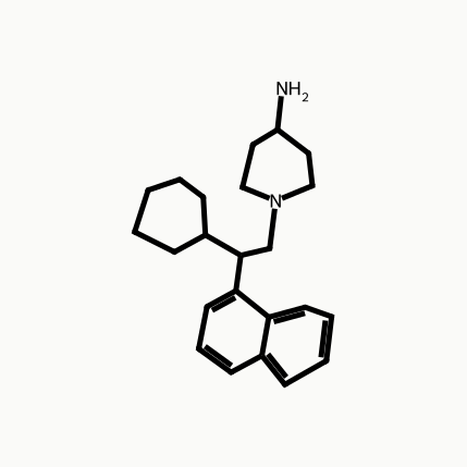 NC1CCN(CC(c2cccc3ccccc23)C2CCCCC2)CC1